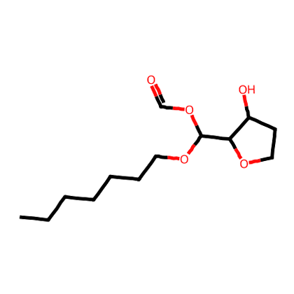 CCCCCCCOC(OC=O)C1OCCC1O